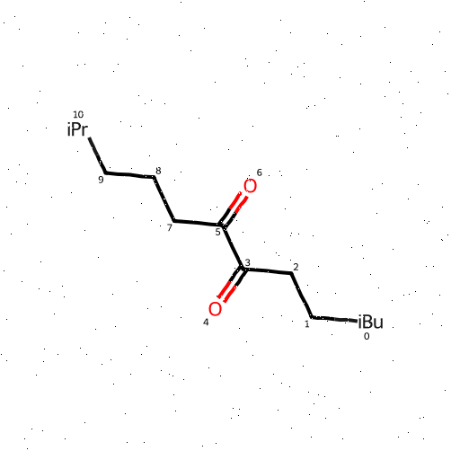 CCC(C)CCC(=O)C(=O)CCCC(C)C